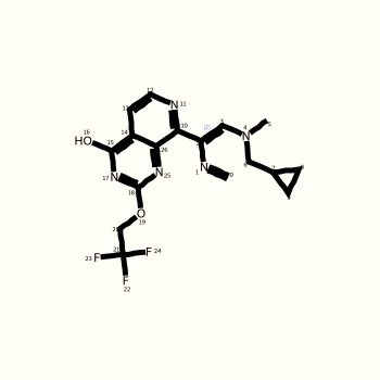 C=N/C(=C\N(C)CC1CC1)c1nccc2c(O)nc(OCC(F)(F)F)nc12